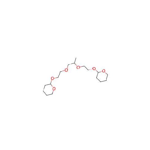 CC(COCCOC1CCCCO1)OCCOC1CCCCO1